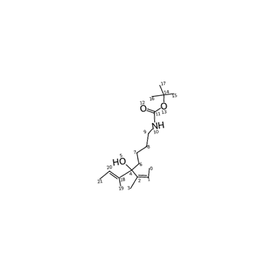 C/C=C(/C)C(O)(CCCCNC(=O)OC(C)(C)C)/C(C)=C/C